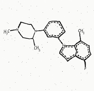 Cc1ccc(F)c2ccn(-c3cccc(N4CCN(C)CC4C)c3)c12